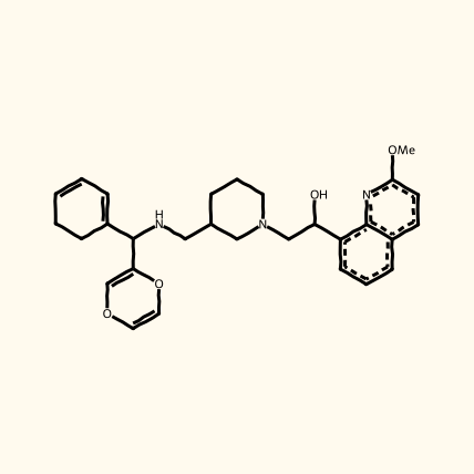 COc1ccc2cccc(C(O)CN3CCCC(CNC(C4=CC=CCC4)C4=COC=CO4)C3)c2n1